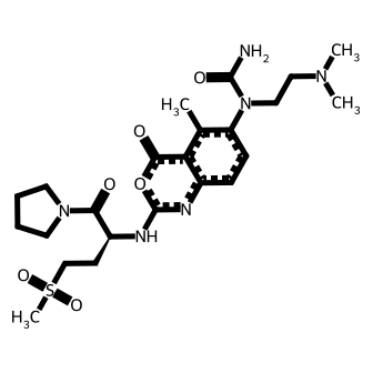 Cc1c(N(CCN(C)C)C(N)=O)ccc2nc(N[C@@H](CCS(C)(=O)=O)C(=O)N3CCCC3)oc(=O)c12